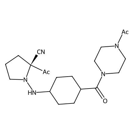 CC(=O)N1CCN(C(=O)C2CCC(NN3CCC[C@]3(C#N)C(C)=O)CC2)CC1